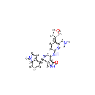 CN(C)Cc1nc(Nc2cnc(-c3cccc4c3ccn4C)c3c2C(=O)NC3)ccc1[C@H]1CCOC1